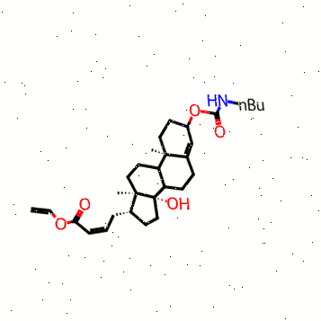 C=COC(=O)/C=C\C[C@H]1CC[C@]2(O)C3CCC4=CC(OC(=O)NCCCC)CC[C@]4(C)C3CC[C@]12C